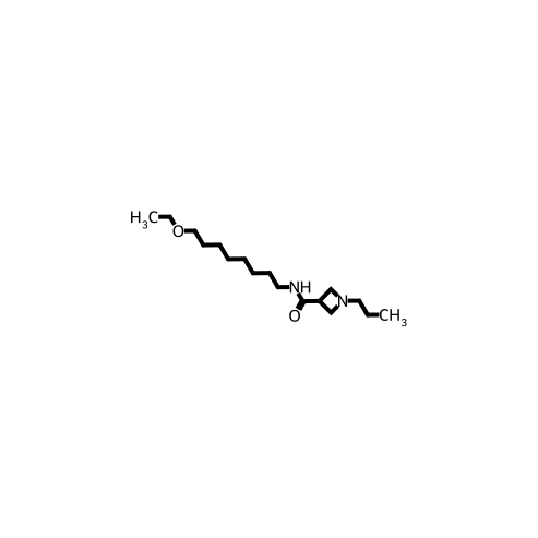 CCCN1CC(C(=O)NCCCCCCCCOCC)C1